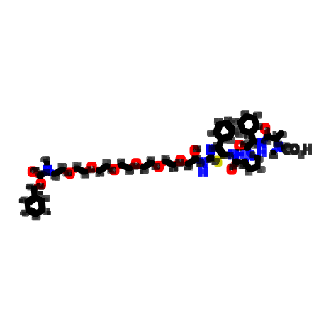 CC(C(=O)NC(C(=O)N1CCC[C@H]1C(=O)Nc1sc(NC(=O)COCCOCCOCCOCCOCCOCCN(C)C(=O)OCc2ccccc2)nc1-c1ccccc1)C1CCCCC1)N(C)C(=O)O